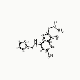 C[C@H](N)Cc1sc2c(NCc3cccs3)cc(C#N)nc2c1Br